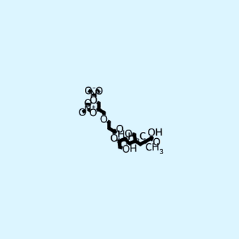 CC(C)(CC1CO[C@@H]2[C@@H]1OC[C@H]2OC(=O)CCOCC(CO[N+](=O)[O-])O[N+](=O)[O-])C(=O)O